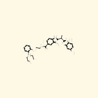 CC(c1nc2cc(O)ccc2[nH]1)c1nc2ccc(C(=O)NCCOc3ccccc3N3CCOCC3)cc2n1C